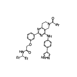 CCC(CC)NC(=O)COc1cccc(-c2nc3c(c(Nc4ccc(-c5cn[nH]c5)cc4)n2)CN(C(=O)C(C)C)CC3)c1